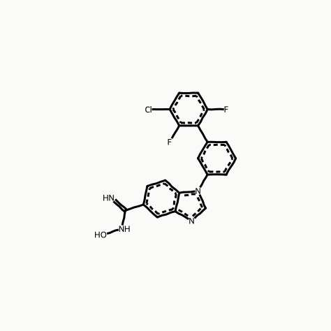 N=C(NO)c1ccc2c(c1)ncn2-c1cccc(-c2c(F)ccc(Cl)c2F)c1